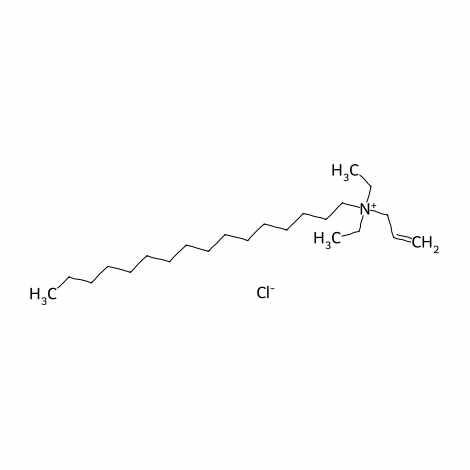 C=CC[N+](CC)(CC)CCCCCCCCCCCCCCCC.[Cl-]